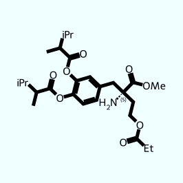 CCC(=O)OCC[C@@](N)(Cc1ccc(OC(=O)C(C)C(C)C)c(OC(=O)C(C)C(C)C)c1)C(=O)OC